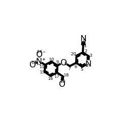 N#Cc1cncc(COc2cc([N+](=O)[O-])ccc2C=O)c1